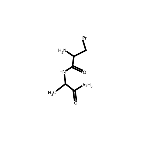 CC(C)CC(N)C(=O)NC(C)C(=O)[AsH2]